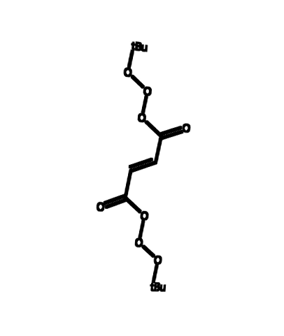 CC(C)(C)OOOC(=O)/C=C/C(=O)OOOC(C)(C)C